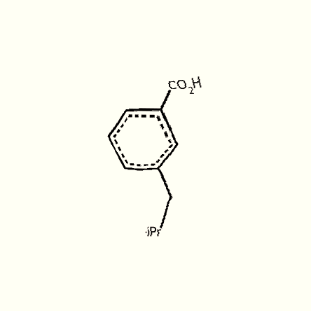 C[C](C)Cc1cccc(C(=O)O)c1